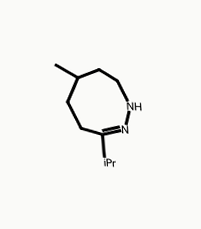 CC1CCN/N=C(/C(C)C)CC1